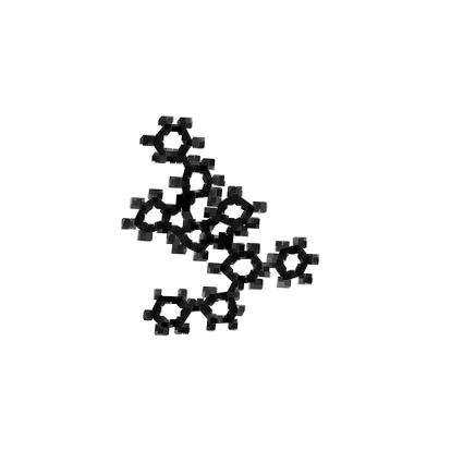 c1ccc(-c2cccc(-c3cc(-c4ccccc4)cc(-n4c5ccccc5c5c4ccc4c6ccccc6n(-c6cccc(-c7ccccc7)c6)c45)c3)c2)cc1